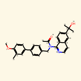 COc1ccc(-c2ccc(CN(C(C)=O)c3nccc4cc(C(C)(C)O)ccc34)cc2)cc1C